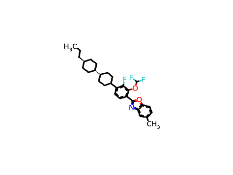 CCC[C@H]1CC[C@H](C2CCC(c3ccc(-c4nc5cc(C)ccc5o4)c(OC(F)F)c3F)CC2)CC1